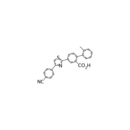 Cc1ccccc1-c1ccc(-c2nc(-c3ccc(C#N)cc3)cs2)cc1C(=O)O